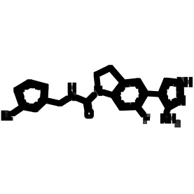 CCc1cccc(CNC(=O)N2CCc3cc(-c4c[nH]nc4N)c(F)cc32)c1